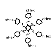 CCCCCC[C@H]1CC[C@H](CSc2c(SC[C@H]3CC[C@H](CCCCCC)CC3)c(SC[C@H]3CC[C@H](CCCCCC)CC3)c(SC[C@H]3CC[C@H](CCCCCC)CC3)c(SC[C@H]3CC[C@H](CCCCCC)CC3)c2SC[C@H]2CC[C@H](CCCCCC)CC2)CC1